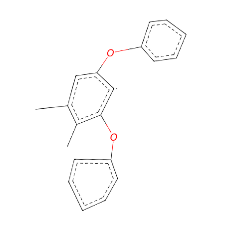 Cc1cc(Oc2ccccc2)[c]c(Oc2ccccc2)c1C